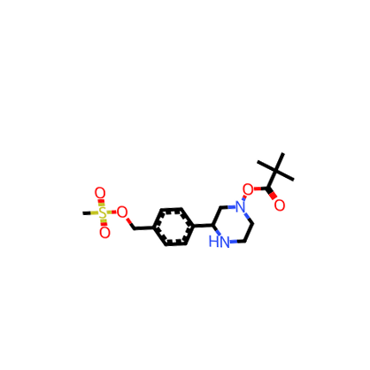 CC(C)(C)C(=O)ON1CCNC(c2ccc(COS(C)(=O)=O)cc2)C1